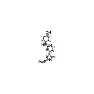 CNc1nc(C)c(-c2ccnc(Nc3ccc(O)cc3)n2)s1